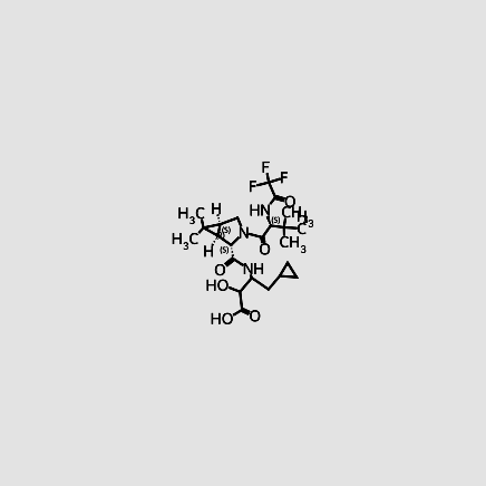 CC(C)(C)[C@H](NC(=O)C(F)(F)F)C(=O)N1C[C@H]2[C@@H]([C@H]1C(=O)NC(CC1CC1)C(O)C(=O)O)C2(C)C